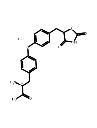 Cl.N[C@@H](Cc1ccc(Oc2ccc(CC3SC(=S)NC3=O)cc2)cc1)C(=O)O